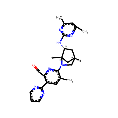 Cc1cc(C)nc(N[C@@H]2C[C@H]3C[C@@H]2N(c2nc(C=O)c(-c4ncccn4)cc2C)C3)n1